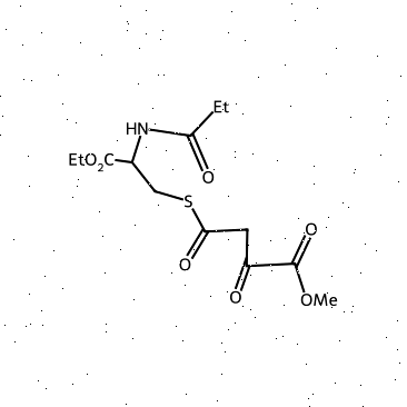 CCOC(=O)C(CSC(=O)CC(=O)C(=O)OC)NC(=O)CC